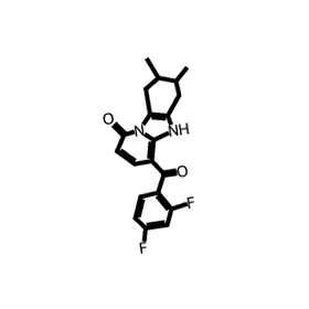 CC1Cc2[nH]c3c(C(=O)c4ccc(F)cc4F)ccc(=O)n3c2CC1C